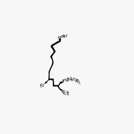 [CH2]CCC/C=C/CCCCC(CC)CCC(CC)CCCCCCCC[CH2]